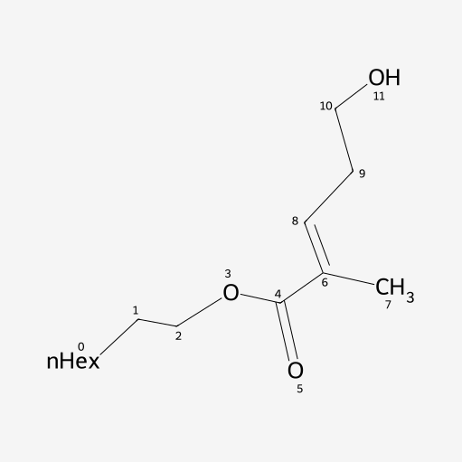 CCCCCCCCOC(=O)C(C)=CCCO